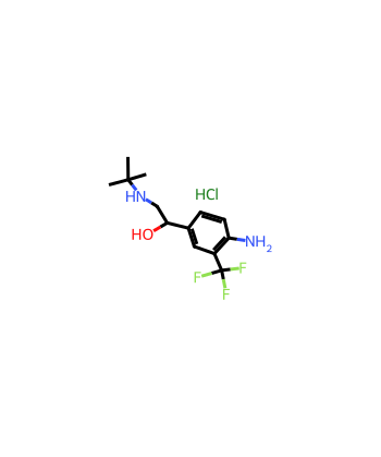 CC(C)(C)NCC(O)c1ccc(N)c(C(F)(F)F)c1.Cl